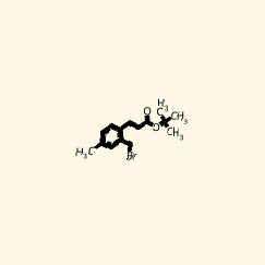 Cc1ccc(/C=C/C(=O)OC(C)(C)C)c(CBr)c1